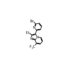 CCc1nc2c(C(F)(F)F)cccn2c1-c1cccc(Br)n1